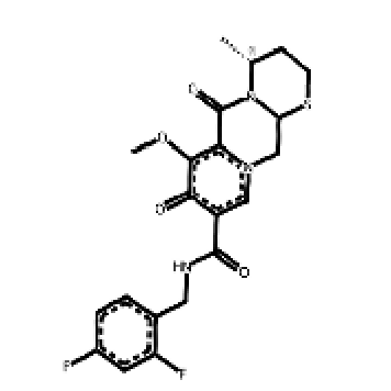 COc1c2n(cc(C(=O)NCc3ccc(F)cc3F)c1=O)CC1SCC[C@@H](C)N1C2=O